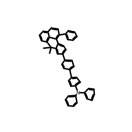 CC1(C)c2cc(-c3ccc(-c4ccc(N(c5ccccc5)c5ccccc5)cc4)cc3)ccc2-c2c(-c3ccccc3)ccc3cccc1c23